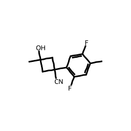 Cc1cc(F)c(C2(C#N)CC(C)(O)C2)cc1F